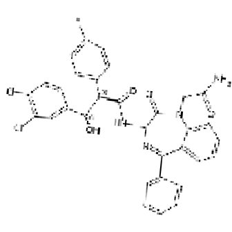 NC(=O)CN1C(=O)C(NC(=O)[C@H](c2ccc(F)cc2)[C@@H](O)c2ccc(Cl)c(Cl)c2)N=C(c2ccccc2)c2ccccc21